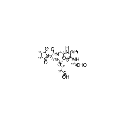 CC(C)C(NC(=O)CN1C(=O)C(N2C(=O)C=CC2=O)CC1COCCSO)C(=O)NCC=O